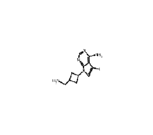 NCC1CC(n2cc(I)c3c(N)ncnc32)C1